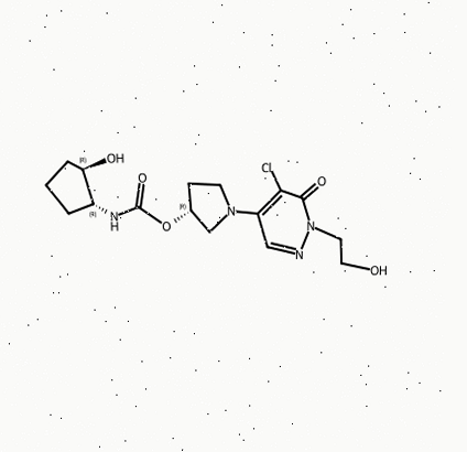 O=C(N[C@@H]1CCC[C@H]1O)O[C@@H]1CCN(c2cnn(CCO)c(=O)c2Cl)C1